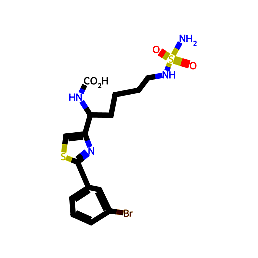 NS(=O)(=O)NCCCCC(NC(=O)O)c1csc(-c2cccc(Br)c2)n1